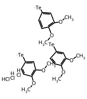 COc1ccc([Te])cc1OC.COc1ccc([Te])cc1OC.COc1ccc([Te])cc1OC.Cl.Cl.Cl